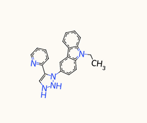 CCn1c2ccccc2c2cc(N3NNC=C3c3ccccn3)ccc21